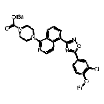 CC(C)COC(=O)N1CCN(c2nccc3c(-c4noc(-c5ccc(OC(C)C)c(Cl)c5)n4)cccc23)CC1